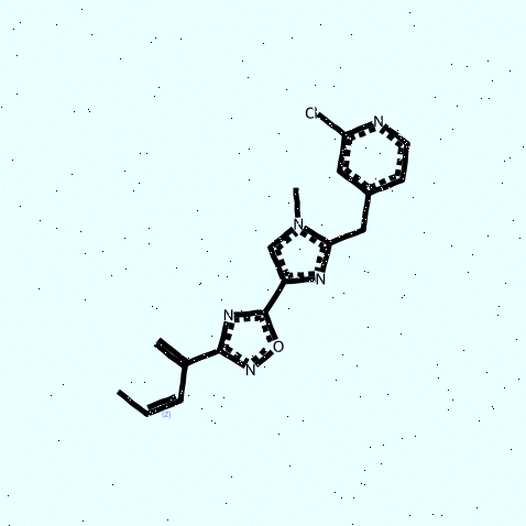 C=C(/C=C\C)c1noc(-c2cn(C)c(Cc3ccnc(Cl)c3)n2)n1